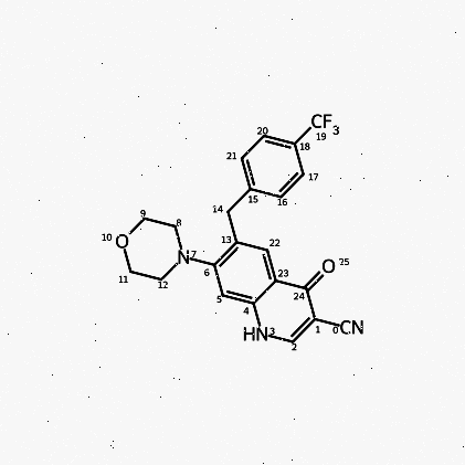 N#Cc1c[nH]c2cc(N3CCOCC3)c(Cc3ccc(C(F)(F)F)cc3)cc2c1=O